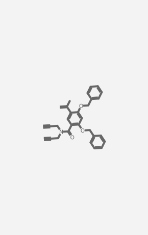 C#CCN(CC#C)C(=O)c1cc(C(=C)C)c(OCc2ccccc2)cc1OCc1ccccc1